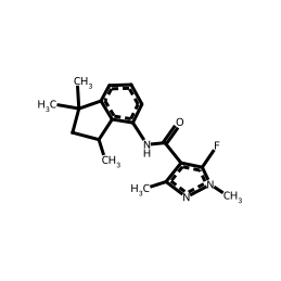 Cc1nn(C)c(F)c1C(=O)Nc1cccc2c1C(C)CC2(C)C